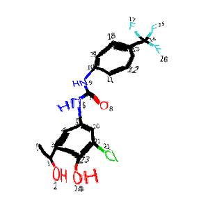 CC(O)c1cc(NC(=O)Nc2ccc(C(F)(F)F)cc2)cc(Cl)c1O